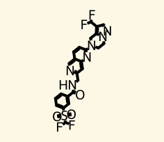 O=C(NCc1cc2nc(N3CCn4ncc(C(F)F)c4C3)ccc2cn1)c1cccc(S(=O)(=O)C(F)F)c1